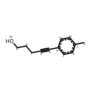 [CH2]c1ccc(C#CCCCO)cc1